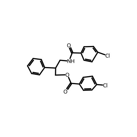 O=C(NCC(COC(=O)c1ccc(Cl)cc1)c1ccccc1)c1ccc(Cl)cc1